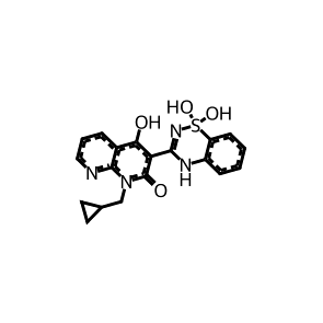 O=c1c(C2=NS(O)(O)c3ccccc3N2)c(O)c2cccnc2n1CC1CC1